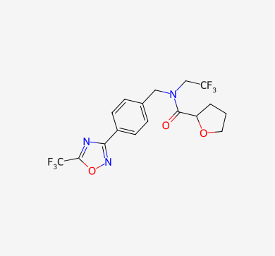 O=C(C1CCCO1)N(Cc1ccc(-c2noc(C(F)(F)F)n2)cc1)CC(F)(F)F